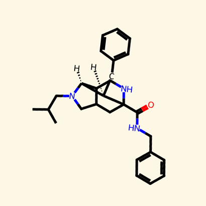 CC(C)CN1CC2CC3(C(=O)NCc4ccccc4)NCC2[C@H]1[C@H]3Cc1ccccc1